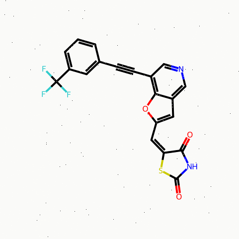 O=C1NC(=O)/C(=C\c2cc3cncc(C#Cc4cccc(C(F)(F)F)c4)c3o2)S1